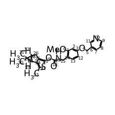 COc1cc(OCc2cccnc2)ccc1CNC(=O)Oc1sc(C)c2c1C[C@@H]1[C@H]2C1(C)C